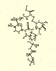 C=C(CC)C(CCC1C[C@@H](C)C(=C)C(C[C@@H]2O[C@H](CC(O)CNC(=O)OC(C)(C)C)[C@H](OC)C2CC(=O)CC2CCC(O)[C@@H](C(O)O)O2)O1)OC